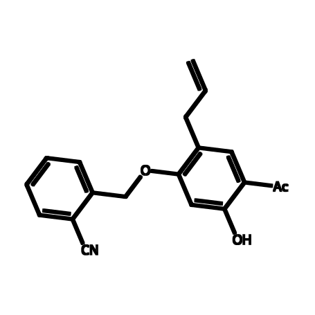 C=CCc1cc(C(C)=O)c(O)cc1OCc1ccccc1C#N